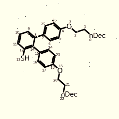 CCCCCCCCCCCCOc1ccc(-c2cccc(S)c2-c2ccc(OCCCCCCCCCCCC)cc2)cc1